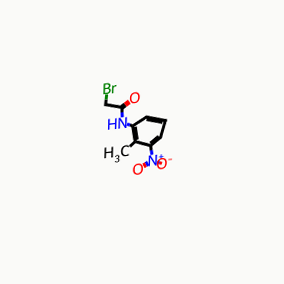 Cc1c(NC(=O)CBr)cccc1[N+](=O)[O-]